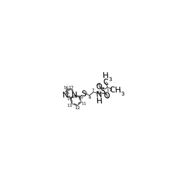 CC(C)S(=O)(=O)NCCSc1cccc2nccn12